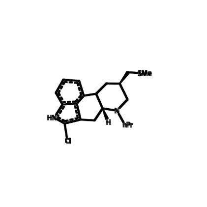 CCCN1C[C@H](CSC)CC2c3cccc4[nH]c(Cl)c(c34)C[C@H]21